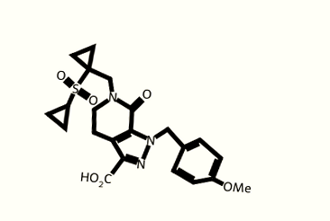 COc1ccc(Cn2nc(C(=O)O)c3c2C(=O)N(CC2(S(=O)(=O)C4CC4)CC2)CC3)cc1